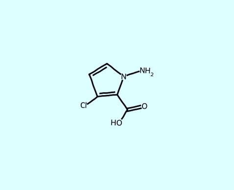 Nn1ccc(Cl)c1C(=O)O